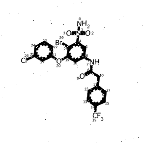 NS(=O)(=O)c1cc(NC(=O)Cc2ccc(C(F)(F)F)cc2)cc(Oc2cccc(Cl)c2)c1Br